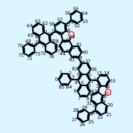 c1ccc(-c2c3ccccc3c(-c3cccc4oc5c6cccc(-c7ccccc7)c6ccc5c34)c3ccc(-c4ccc5c(ccc6c5oc5c(-c7ccccc7)ccc(-c7c8ccccc8c(-c8ccccc8)c8ccccc78)c56)c4)cc23)cc1